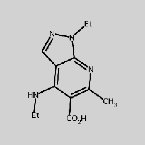 CCNc1c(C(=O)O)c(C)nc2c1cnn2CC